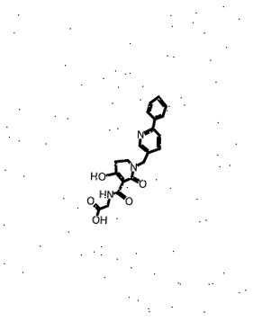 O=C(O)CNC(=O)C1=C(O)CCN(Cc2ccc(-c3ccccc3)nc2)C1=O